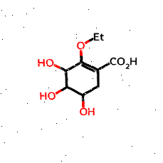 CCOC1=C(C(=O)O)CC(O)C(O)C1O